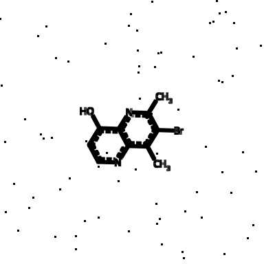 Cc1nc2c(O)ccnc2c(C)c1Br